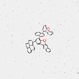 c1ccc2cc3c(cc2c1)oc1c(-c2ccc(-c4cccc5oc6ccccc6c45)c4ccccc24)cc(-c2ccc4ccc5cccc6ccc2c4c56)cc13